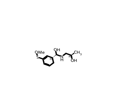 COSC1=C[C@H](C(O)NC[C@@H](C)O)CC=C1